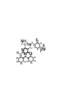 NCC1CN(Cc2ccc(C(F)(F)F)cc2F)Cc2c1nc(CI)n(C(c1ccccc1)c1ccccc1)c2=O